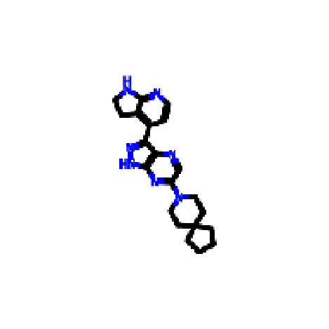 c1cc(-c2n[nH]c3nc(N4CCC5(CCCC5)CC4)cnc23)c2c(n1)NCC2